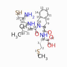 CSCC[C@H](NC(=O)[C@@H]1Cc2ccccc2CN1C(=O)[C@H](CC(C)C)NC[C@@H](N)CS)C(=O)O